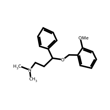 COc1ccccc1COC(CCN(C)C)c1ccccc1